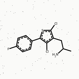 CC(N)Cc1c(Cl)sc(-c2ccc(F)cc2)c1Cl